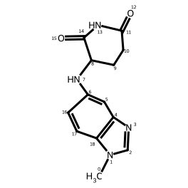 Cn1cnc2cc(NC3CCC(=O)NC3=O)ccc21